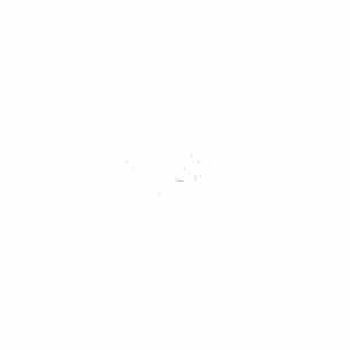 [S+2].[Se-2].[Se-2].[Zn+2]